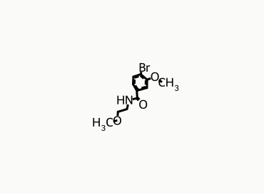 COCCNC(=O)c1ccc(Br)c(OC)c1